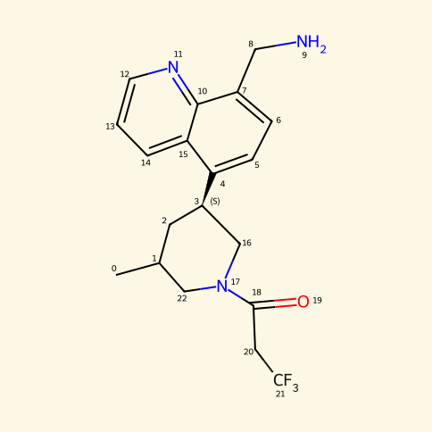 CC1C[C@@H](c2ccc(CN)c3ncccc23)CN(C(=O)CC(F)(F)F)C1